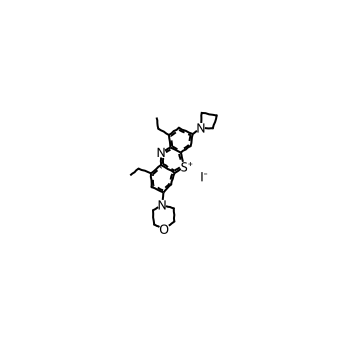 CCc1cc(N2CCC2)cc2[s+]c3cc(N4CCOCC4)cc(CC)c3nc12.[I-]